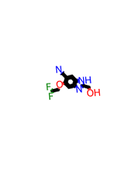 N#Cc1cc2[nH]c(CO)nc2cc1OCC(F)F